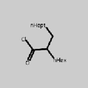 CCCCCCCCC(CCCCCC)C(=O)Cl